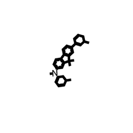 CC1C=C(c2ccc3c(c2)C(C)(C)c2cc(N(C)C4=CC=CC(C)C4)ccc2-3)C=CC1